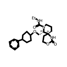 CCNC(=O)N1CCC[C@@]2(CCOC(=O)N2)[C@@H]1COC1CCC(c2ccccc2)CC1